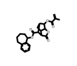 C=C(C)C(=O)OC1C2CC3C1OC(=O)C3C2C(=O)OC1CCCCc2ccccc21